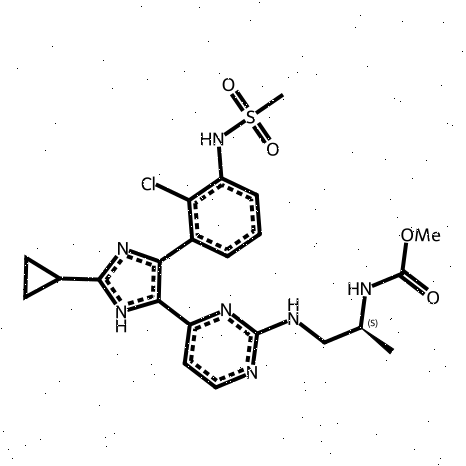 COC(=O)N[C@@H](C)CNc1nccc(-c2[nH]c(C3CC3)nc2-c2cccc(NS(C)(=O)=O)c2Cl)n1